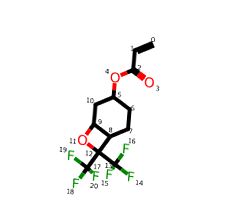 C=CC(=O)OC1CCC2C(C1)OC2(C(F)(F)F)C(F)(F)F